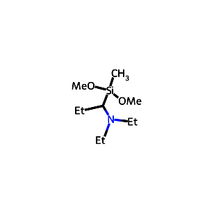 CCC(N(CC)CC)[Si](C)(OC)OC